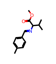 COC(=O)C(N=Cc1ccc(C)cc1)C(C)C